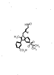 Cc1c(-c2cccc(C(=O)O)c2)c2cc(S(=O)(=O)N(C)C)ccc2n1C/C(F)=C/CNCl